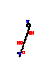 CCN(CC)C(=O)CCCCC(O)C=CC=CC=CC(O)CCc1ccc(N(C)C)cc1